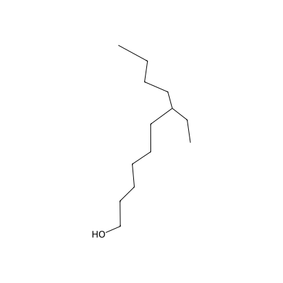 CCCCC(CC)CCCCCCO